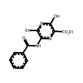 CCOC(=O)c1nc(NC(=O)c2ccccc2)c(CC)nc1O